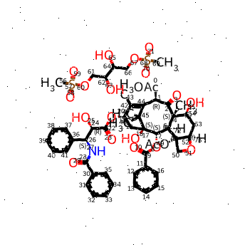 CC(=O)O[C@H]1C(=O)[C@@]2(C)[C@H]([C@H](OC(=O)c3ccccc3)[C@]3(O)C[C@H](OC(=O)[C@H](O)[C@@H](NC(=O)c4ccccc4)c4ccccc4)C(C)=C1C3(C)C)[C@]1(OC(C)=O)CO[C@@H]1C[C@@H]2O.CS(=O)(=O)OCC(O)C(O)COS(C)(=O)=O